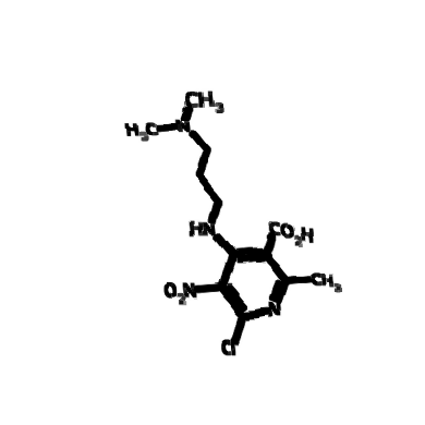 Cc1nc(Cl)c([N+](=O)[O-])c(NCCCN(C)C)c1C(=O)O